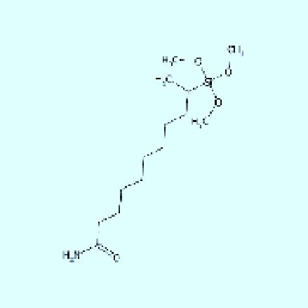 CO[Si](OC)(OC)C(C)CCCCCCCCC(N)=O